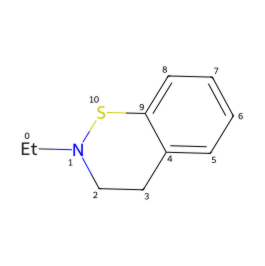 CCN1CCc2ccccc2S1